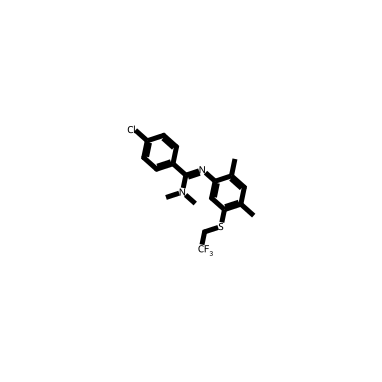 Cc1cc(C)c(SCC(F)(F)F)cc1/N=C(/c1ccc(Cl)cc1)N(C)C